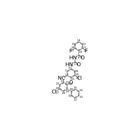 N#Cc1cc(NC(=O)NC(=O)c2c(F)cccc2F)cc(Cl)c1Oc1ccc(Cl)cc1-c1ccccc1